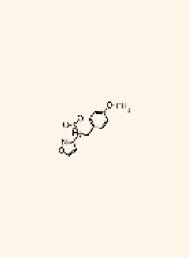 COc1ccc(CN(c2ccon2)[SH](=O)=O)cc1